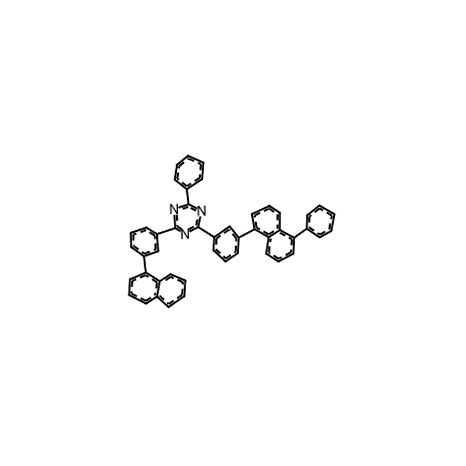 c1ccc(-c2nc(-c3cccc(-c4cccc5ccccc45)c3)nc(-c3cccc(-c4cccc5c(-c6ccccc6)cccc45)c3)n2)cc1